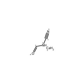 N#CNC=O.[CaH2]